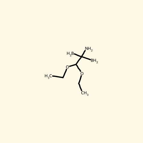 BC(B)(N)C(OCC)OCC